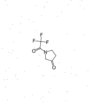 O=C1CCN(C(=O)C(F)(F)F)C1